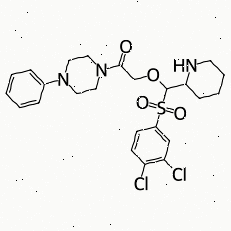 O=C(COC(C1CCCCN1)S(=O)(=O)c1ccc(Cl)c(Cl)c1)N1CCN(c2ccccc2)CC1